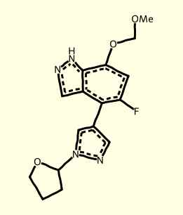 COCOc1cc(F)c(-c2cnn(C3CCCO3)c2)c2cn[nH]c12